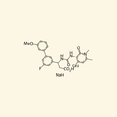 COc1cccc(-c2cc(F)cc(C(CC(=O)O)NC(=O)Nc3c(O)cc(C)n(C)c3=O)c2)c1.[NaH]